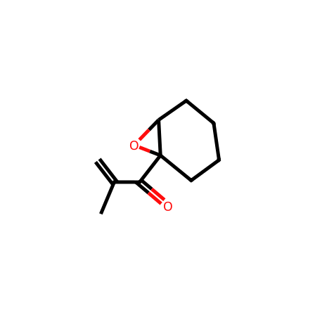 C=C(C)C(=O)C12CCCCC1O2